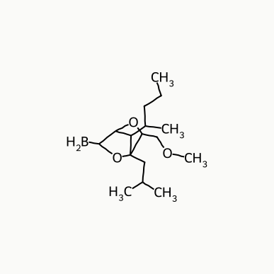 BC1OC2(CC(C)C)C(COC)OC1C2C(C)CCC